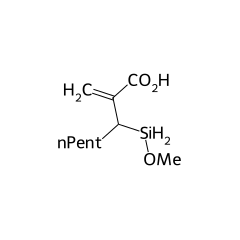 C=C(C(=O)O)C(CCCCC)[SiH2]OC